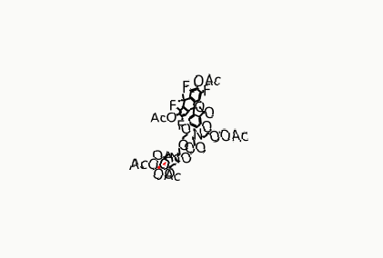 CC(=O)OCOC(=O)CN(CCOCCOc1cc2c(cc1N(CC(=O)OCOC(C)=O)CC(=O)OCOC(C)=O)C(=O)OC21c2cc(F)c(OC(C)=O)c(F)c2C(C)(C)c2c1cc(F)c(OC(C)=O)c2F)CC(=O)OCOC(C)=O